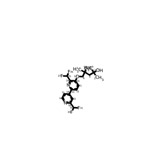 CC(C)(O)CC(C)(N)COc1ccc(-c2ccnc(C(F)F)c2)nc1C(F)F